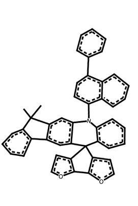 CC1(C)c2ccccc2-c2cc3c(cc21)N(c1ccc(-c2ccccc2)c2ccccc12)c1ccccc1C31c2ccoc2-c2occc21